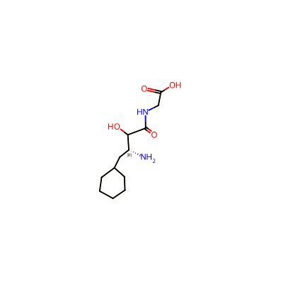 N[C@H](CC1CCCCC1)C(O)C(=O)NCC(=O)O